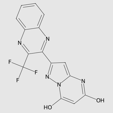 Oc1cc(O)n2nc(-c3nc4ccccc4nc3C(F)(F)F)cc2n1